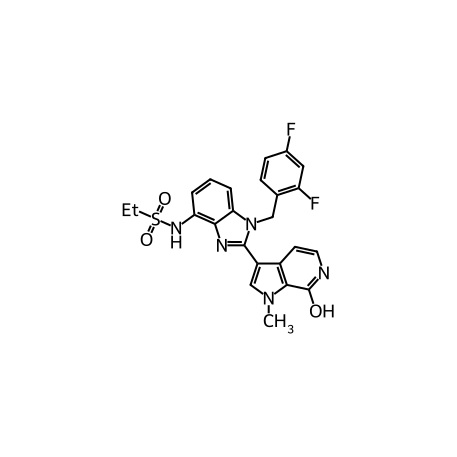 CCS(=O)(=O)Nc1cccc2c1nc(-c1cn(C)c3c(O)nccc13)n2Cc1ccc(F)cc1F